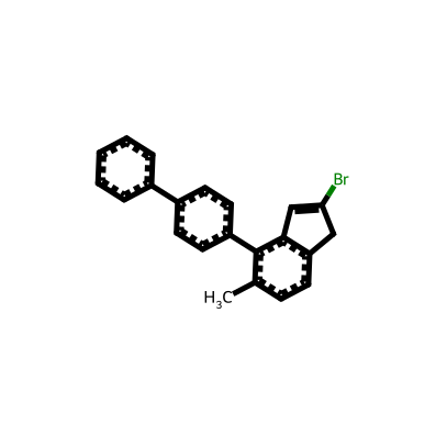 Cc1ccc2c(c1-c1ccc(-c3ccccc3)cc1)C=C(Br)C2